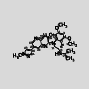 COc1cc(OC)c(F)c(N(CCNC(C)C)c2ccc3ncc(-c4cnn(C)c4)cc3n2)c1C